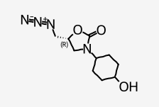 [N-]=[N+]=NC[C@H]1CN(C2CCC(O)CC2)C(=O)O1